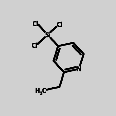 CCc1cc([Si](Cl)(Cl)Cl)ccn1